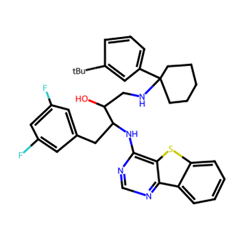 CC(C)(C)c1cccc(C2(NCC(O)C(Cc3cc(F)cc(F)c3)Nc3ncnc4c3sc3ccccc34)CCCCC2)c1